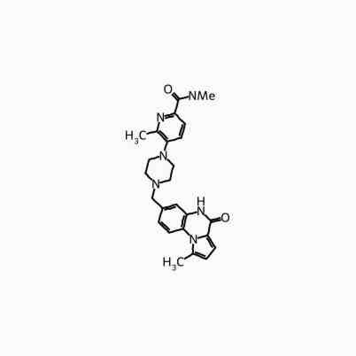 CNC(=O)c1ccc(N2CCN(Cc3ccc4c(c3)[nH]c(=O)c3ccc(C)n34)CC2)c(C)n1